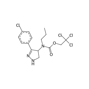 CCCN(C(=O)OCC(Cl)(Cl)Cl)C1CNN=C1c1ccc(Cl)cc1